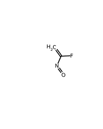 C=C(F)N=O